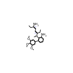 CC/C(N)=C\C=C(/CC)N(C)c1c(N)cccc1-c1cc(OC)c(OC)c(OC)c1